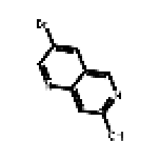 Oc1cc2ncc(Br)cc2cn1